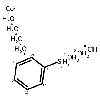 Cl.O.O.O.O.O.O.[Co].[SiH3]c1ccccc1